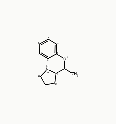 CC(Oc1ccccc1)C1CCCN1